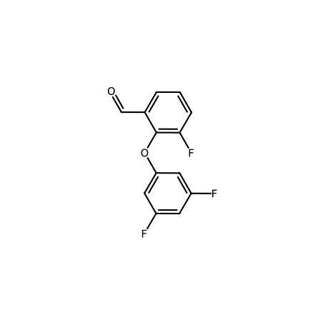 O=Cc1cccc(F)c1Oc1cc(F)cc(F)c1